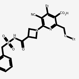 CCOCc1nc(N2CC(C(=O)NS(=O)(=O)Cc3ccccc3)C2)c(C#N)c(CC)c1C(=O)O